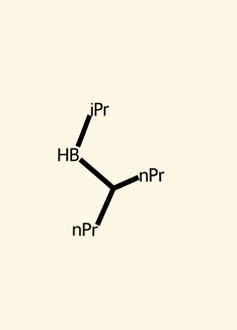 CCCC(BC(C)C)CCC